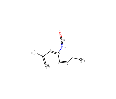 C=C(C)/C=C(\C=C/CC)N=C=O